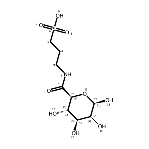 O=C(NCCCS(=O)(=O)O)[C@H]1O[C@@H](O)[C@H](O)[C@@H](O)[C@@H]1O